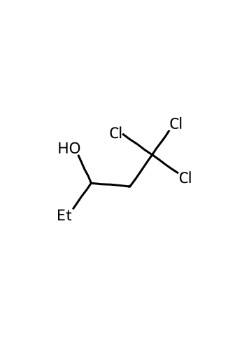 CCC(O)CC(Cl)(Cl)Cl